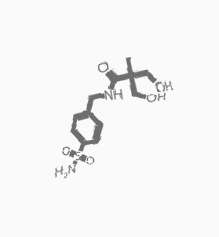 CC(CO)(CO)C(=O)NCc1ccc(S(N)(=O)=O)cc1